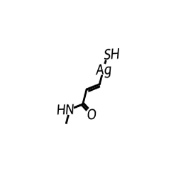 CNC(=O)C=[CH][Ag][SH]